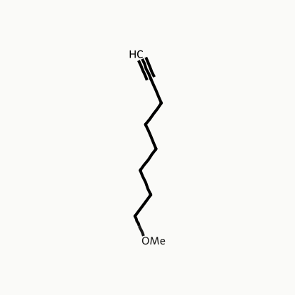 C#CCCCCCCOC